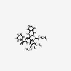 COCCn1c(C)c(C)c2cc(C(=O)N3CCCCC3)nc(N3CCc4ccccc4C3)c21.Cl